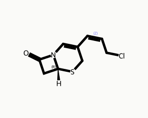 O=C1C[C@H]2SCC(/C=C\CCl)=CN12